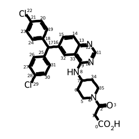 O=C(O)CC(=O)N1CCC(Nc2ncnc3ccc(C(c4ccc(Cl)cc4)c4ccc(Cl)cc4)cc23)CC1